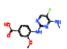 CNc1nc(Nc2ccc(C(=O)O)cc2OC)ncc1F